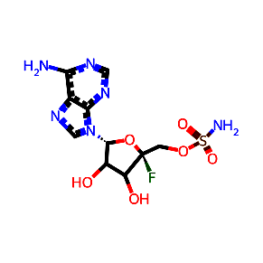 Nc1ncnc2c1ncn2[C@@H]1O[C@](F)(COS(N)(=O)=O)C(O)C1O